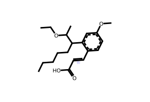 CCCCCC(c1cc(OC)ccc1/C=C/C(=O)O)C(C)OCC